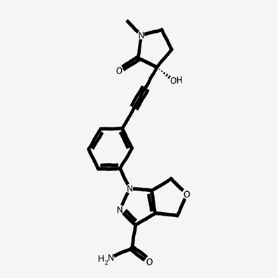 CN1CC[C@@](O)(C#Cc2cccc(-n3nc(C(N)=O)c4c3COC4)c2)C1=O